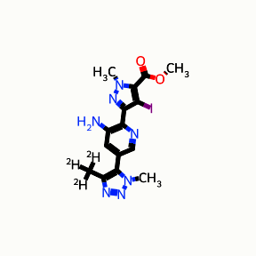 [2H]C([2H])([2H])c1nnn(C)c1-c1cnc(-c2nn(C)c(C(=O)OC)c2I)c(N)c1